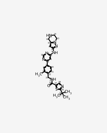 Cc1cc(-c2cc(Nc3cc4n(n3)CCNC4)ncn2)ccc1CNC(=O)c1cnc(C(C)(C)C)s1